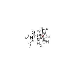 CCCN(CC)C(=O)[C@@H](N)C12CC3CC(CC(O)(C3)C1)C2